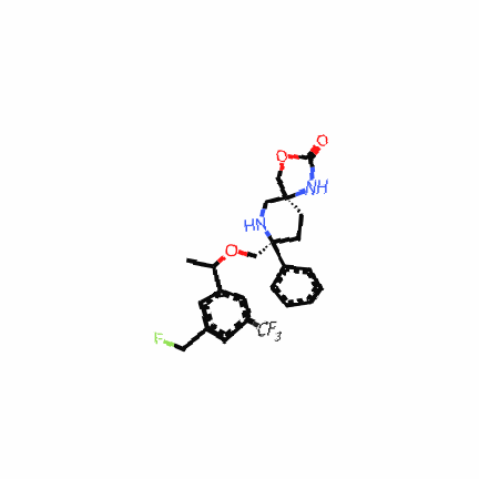 CC(OC[C@@]1(c2ccccc2)CC[C@]2(CN1)COC(=O)N2)c1cc(CF)cc(C(F)(F)F)c1